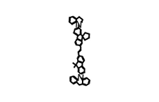 CC1(C)c2cc(/C=C/c3ccc4c(c3)C3(CCCC3)c3cc(N5CCCc6ccccc65)ccc3-4)ccc2-c2ccc(N3c4ccccc4Cc4ccccc43)cc21